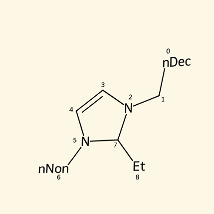 CCCCCCCCCCCN1C=CN(CCCCCCCCC)C1CC